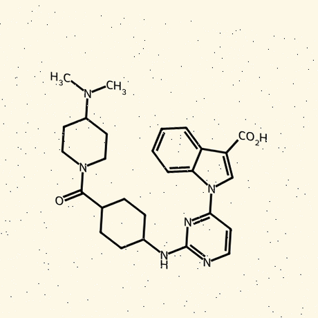 CN(C)C1CCN(C(=O)C2CCC(Nc3nccc(-n4cc(C(=O)O)c5ccccc54)n3)CC2)CC1